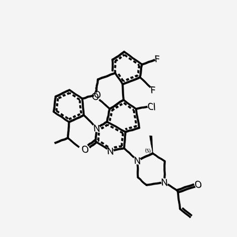 C=CC(=O)N1CCN(c2nc(=O)n(-c3c(OC)cccc3C(C)C)c3c4c(c(Cl)cc23)-c2c(ccc(F)c2F)CO4)[C@@H](C)C1